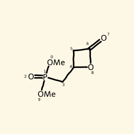 COP(=O)(CC1CC(=O)O1)OC